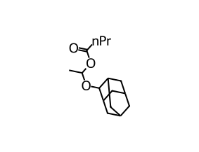 CCCC(=O)OC(C)OC1C2CC3CC(C2)CC1C3